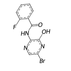 O=C(Nc1ncc(Br)nc1O)c1ccccc1F